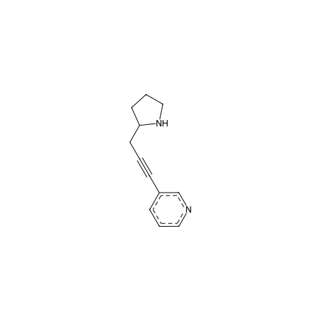 C(#Cc1cccnc1)CC1CCCN1